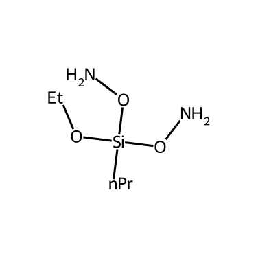 CCC[Si](ON)(ON)OCC